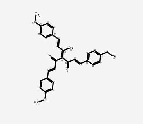 COc1ccc(/C=C/C(=O)/C(C(=O)/C=C/c2ccc(CO)cc2)=C(O)\C=C\c2ccc(OC)cc2)cc1